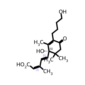 CC1=C(CCCCO)C(=O)CC(C)(C)[C@@]1(O)/C=C/C(C)=C\C(=O)O